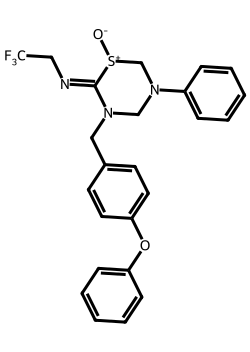 [O-][S+]1CN(c2ccccc2)CN(Cc2ccc(Oc3ccccc3)cc2)C1=NCC(F)(F)F